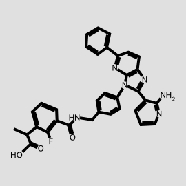 CC(C(=O)O)c1cccc(C(=O)NCc2ccc(-n3c(-c4cccnc4N)nc4ccc(-c5ccccc5)nc43)cc2)c1F